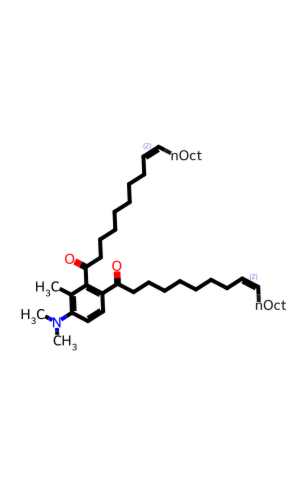 CCCCCCCC/C=C\CCCCCCCC(=O)c1ccc(N(C)C)c(C)c1C(=O)CCCCCCC/C=C\CCCCCCCC